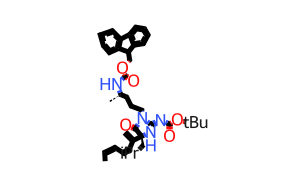 C=C(/C=C\C=C/C)[C@@]1(CC(C)C)N/C(=N\C(=O)OC(C)(C)C)N(CCC[C@H](C)NC(=O)OCC2c3ccccc3-c3ccccc32)C1=O